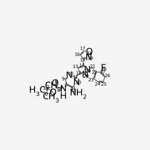 CC(C)(C)OC(=O)Nc1cnc(-c2cc(-c3ccon3)n(Cc3ccccc3F)n2)nc1N